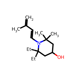 C=C(C)C=CN1C(C)(C)CC(O)CC1(CC)CC